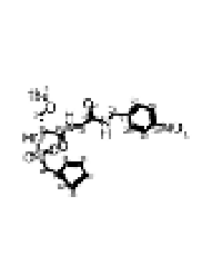 CC(C)(C)OC[C@@H](NS(=O)(=O)Cc1ccccc1)C(=O)NCC(=O)NCc1ccc([N+](=O)[O-])cc1